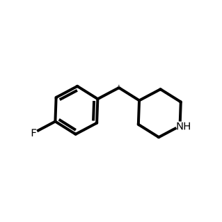 Fc1ccc([CH]C2CCNCC2)cc1